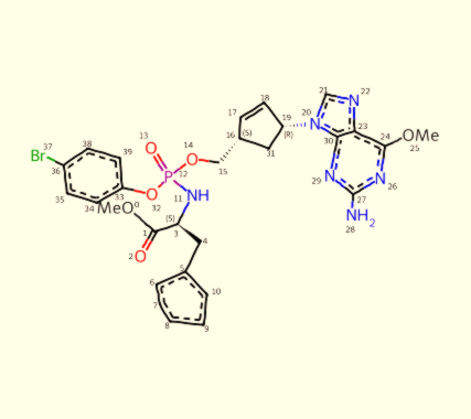 COC(=O)[C@H](Cc1ccccc1)NP(=O)(OC[C@@H]1C=C[C@H](n2cnc3c(OC)nc(N)nc32)C1)Oc1ccc(Br)cc1